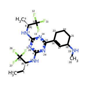 CC[C@@H](Nc1nc(N[C@H](C)C(F)(F)F)nc(C2=CC(NC)CCC2)n1)C(F)(F)F